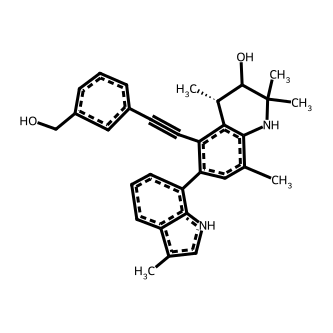 Cc1cc(-c2cccc3c(C)c[nH]c23)c(C#Cc2cccc(CO)c2)c2c1NC(C)(C)C(O)[C@H]2C